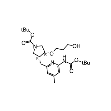 Cc1cc(C[C@@H]2CN(C(=O)OC(C)(C)C)C[C@@H]2OCCCO)nc(NC(=O)OC(C)(C)C)c1